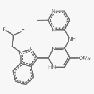 COC1=CNC(c2nn(CC(F)F)c3ccccc23)N=C1Nc1ccnc(C)n1